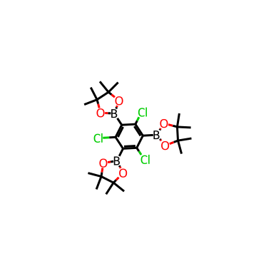 CC1(C)OB(c2c(Cl)c(B3OC(C)(C)C(C)(C)O3)c(Cl)c(B3OC(C)(C)C(C)(C)O3)c2Cl)OC1(C)C